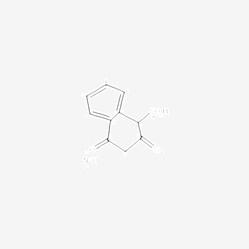 O=C1CC(=O)C(S(=O)(=O)O)c2ccccc21.[NaH]